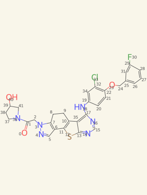 O=C(Cn1ncc2c1CCc1c-2sc2ncnc(Nc3ccc(OCc4cccc(F)c4)c(Cl)c3)c12)N1CCC(O)C1